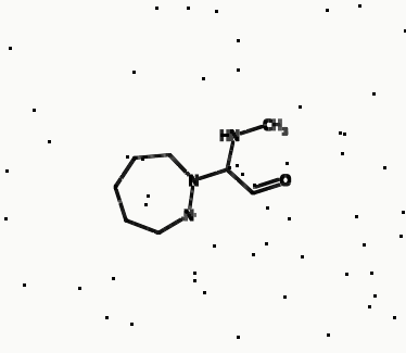 CNC(C=O)N1CCCCC[N]1